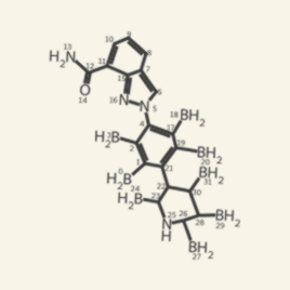 Bc1c(B)c(-n2cc3cccc(C(N)=O)c3n2)c(B)c(B)c1C1C(B)NC(B)C(B)C1B